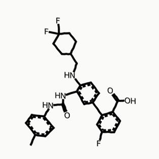 Cc1ccc(NC(=O)Nc2cc(-c3cc(F)ccc3C(=O)O)ccc2NCC2CCC(F)(F)CC2)cc1